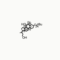 CC[C@H]1[C@@H](O)[C@@H]2[C@H](CC[C@]3(C)[C@@H]([C@H](C)CCO)CC[C@@H]23)[C@@]2(C)CCC(O[Si](C)(C)C(C)(C)C)C[C@@H]12